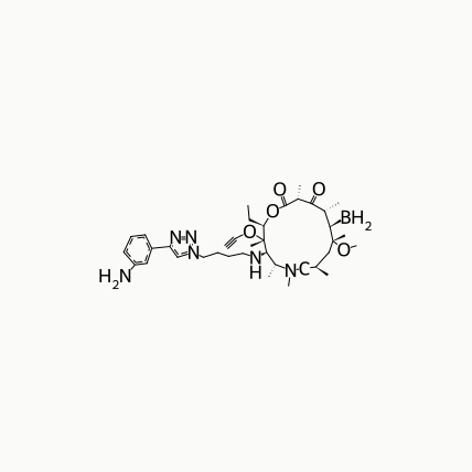 B[C@@H]1[C@@H](C)C(=O)[C@@H](C)C(=O)O[C@H](CC)[C@@](C)(OC#C)[C@H](NCCCCn2cc(-c3cccc(N)c3)nn2)[C@@H](C)N(C)C[C@H](C)C[C@@]1(C)OC